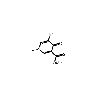 COC(=O)c1cn(C)cc(Br)c1=O